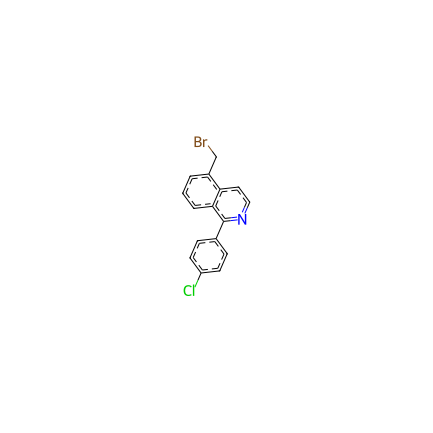 Clc1ccc(-c2nccc3c(CBr)cccc23)cc1